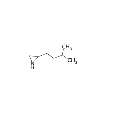 CC(C)CCC1CN1